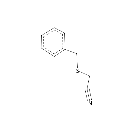 N#CCSCc1ccccc1